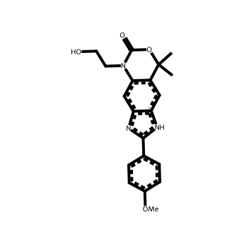 COc1ccc(-c2nc3cc4c(cc3[nH]2)C(C)(C)OC(=O)N4CCO)cc1